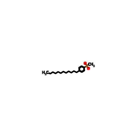 CCCCCCCCCCCCc1ccc(S(C)(=O)=O)cc1